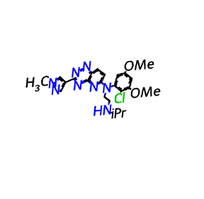 COc1cc(OC)c(Cl)c(N(CCNC(C)C)c2ccc3nnc(-c4cnn(C)c4)nc3n2)c1